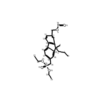 CCCC1(C)c2cc(COP=O)ccc2-c2ccc(CP(=O)(OCC)OCC)cc21